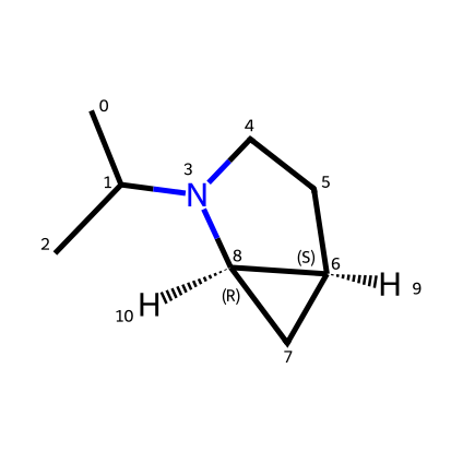 CC(C)N1CC[C@H]2C[C@H]21